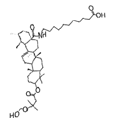 C[C@@H]1CC[C@]2(C(=O)NCCCCCCCCCCC(=O)O)CC[C@]3(C)C(=CCC4[C@@]5(C)CCC(OC(=O)CC(C)(C)OCO)C(C)(C)C5CC[C@]43C)C2[C@H]1C